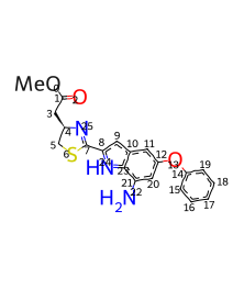 COC(=O)C[C@@H]1CSC(c2cc3cc(Oc4ccccc4)cc(N)c3[nH]2)=N1